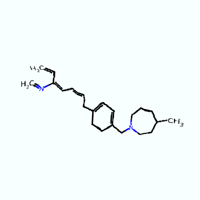 C=C/C(=C\C=C/CC1=CC=C(CN2CCCC(C)CC2)CC1)N=C